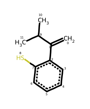 C=C(c1ccccc1S)C(C)C